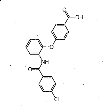 O=C(O)c1ccc(Oc2ccccc2NC(=O)c2ccc(Cl)cc2)cc1